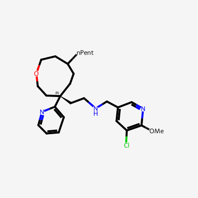 CCCCCC1CCOCC[C@@](CCNCc2cnc(OC)c(Cl)c2)(c2ccccn2)CC1